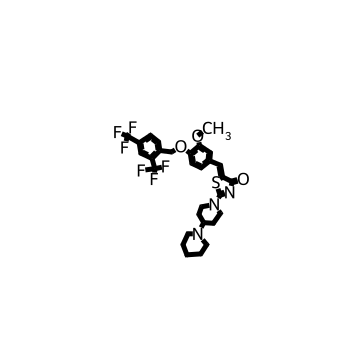 COc1cc(/C=C2\SC(N3CCC(N4CCCCC4)CC3)=NC2=O)ccc1OCc1ccc(C(F)(F)F)cc1C(F)(F)F